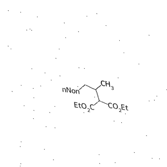 CCCCCCCCCCC(C)C(C(=O)OCC)C(=O)OCC